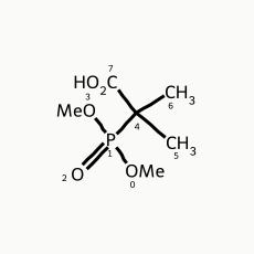 COP(=O)(OC)C(C)(C)C(=O)O